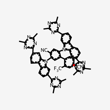 Cc1nc(C)nc(-c2ccc3c4ccc(-c5nc(C)nc(C)n5)cc4n(-c4cc(-c5ccc(C#N)cc5C(F)(F)F)c(-n5c6cc(-c7nc(C)nc(C)n7)ccc6c6ccc(-c7nc(C)nc(C)n7)cc65)cc4C#N)c3c2)n1